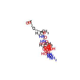 CC(C)(CCCCCCc1ccc(CCCCC2(OC=O)CC2)cc1)C(=O)CCNC(=O)CCNC(=O)C(O)C(C)(C)COP(=O)(O)OP(=O)(O)OCC1OC(n2cnc3c(N)ncnc32)C(O)C1OP(=O)(O)O